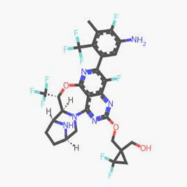 Cc1c(F)c(N)cc(-c2nc3c4c(nc(OCC5(CO)CC5(F)F)nc4c2F)N2C[C@H]4CC[C@H](N4)[C@H]2[C@H](C(F)(F)F)O3)c1C(F)(F)F